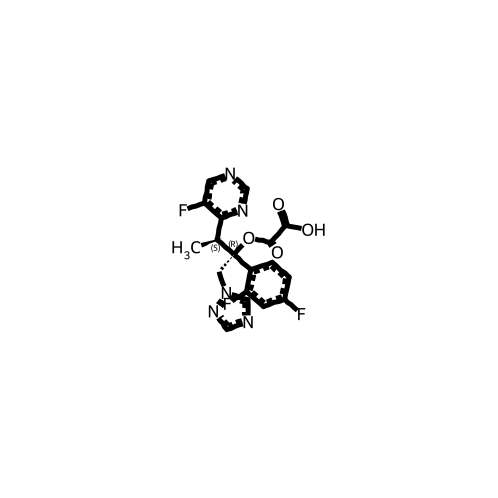 C[C@@H](c1ncncc1F)[C@@](Cn1cncn1)(OC(=O)C(=O)O)c1ccc(F)cc1F